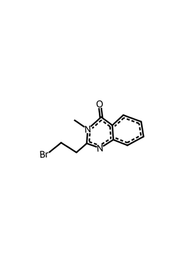 Cn1c(CCBr)nc2ccccc2c1=O